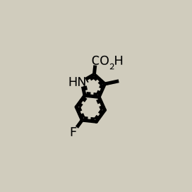 Cc1c(C(=O)O)[nH]c2cc(F)ccc12